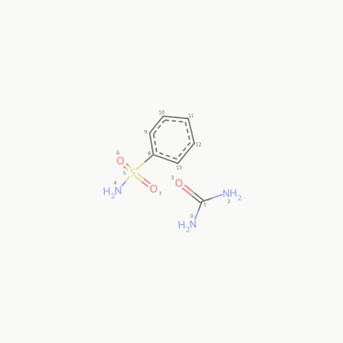 NC(N)=O.NS(=O)(=O)c1ccccc1